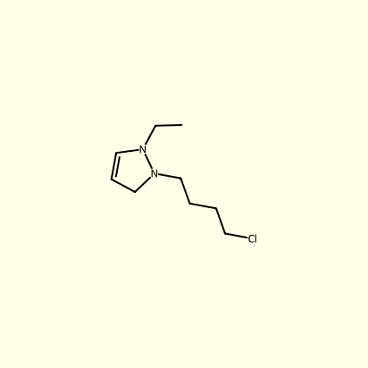 CCN1C=CCN1CCCCCl